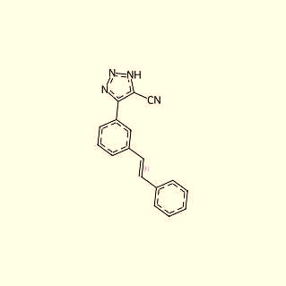 N#Cc1[nH]nnc1-c1cccc(/C=C/c2ccccc2)c1